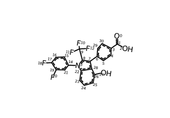 O=C(O)c1ccc(-c2c(C(F)(F)F)n(-c3ccc(F)c(F)c3)c3cccc(O)c23)cc1